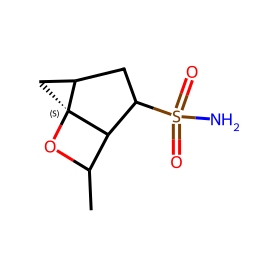 CC1O[C@@]23CC2CC(S(N)(=O)=O)C13